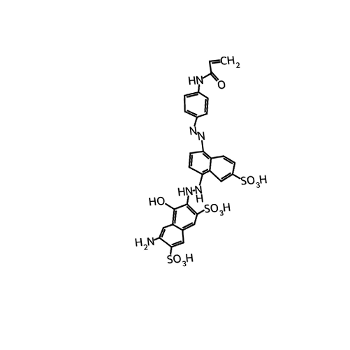 C=CC(=O)Nc1ccc(/N=N/c2ccc(NNc3c(S(=O)(=O)O)cc4cc(S(=O)(=O)O)c(N)cc4c3O)c3cc(S(=O)(=O)O)ccc23)cc1